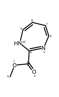 COC(=O)C1=NC=CC=CN1